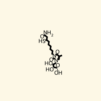 Cc1cn([C@@H]2O[C@H](CO)C(O)C2O)c(=O)n(CCCCCCC(S)CC(N)=O)c1=O